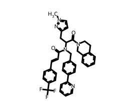 Cn1ccc(CC(C(=O)N2CCc3ccccc3C2)N(Cc2ccc(-c3ccccn3)cc2)C(=O)/C=C/c2ccc(C(F)(F)F)cc2)n1